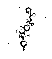 C[C@H]1CN(S(=O)(=O)CCC(=O)N2CCCC2)CC[C@H]1c1[nH]c(-c2ccc(F)cn2)nc1Cl